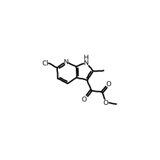 COC(=O)C(=O)c1c(C)[nH]c2nc(Cl)ccc12